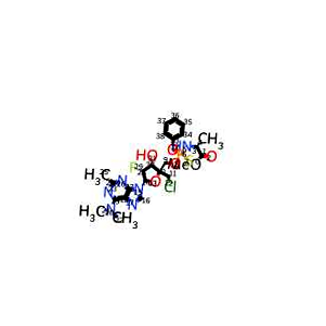 COC(=O)[C@@H](C)NP(=S)(OC[C@@]1(CCl)O[C@@H](n2cnc3c(N(C)C)nc(C)nc32)[C@H](F)[C@@H]1O)Oc1ccccc1